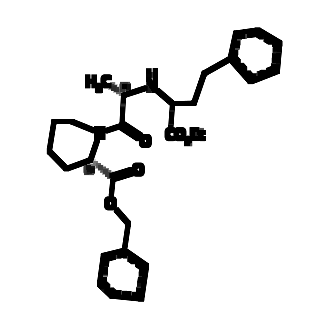 CCOC(=O)C(CCc1ccccc1)N[C@@H](C)C(=O)N1CCCC[C@H]1C(=O)OCc1ccccc1